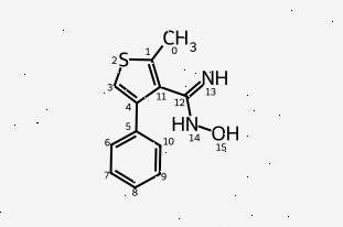 Cc1scc(-c2ccccc2)c1C(=N)NO